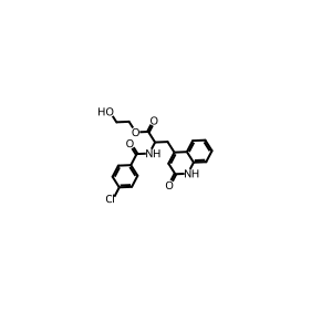 O=C(NC(Cc1cc(=O)[nH]c2ccccc12)C(=O)OCCO)c1ccc(Cl)cc1